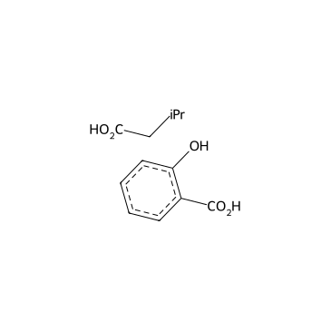 CC(C)CC(=O)O.O=C(O)c1ccccc1O